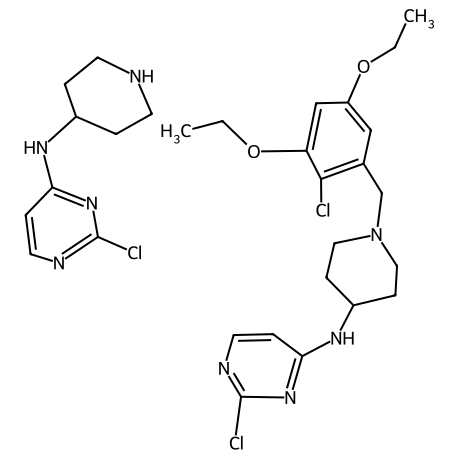 CCOc1cc(CN2CCC(Nc3ccnc(Cl)n3)CC2)c(Cl)c(OCC)c1.Clc1nccc(NC2CCNCC2)n1